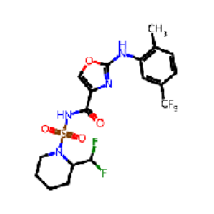 Cc1ccc(C(F)(F)F)cc1Nc1nc(C(=O)NS(=O)(=O)N2CCCCC2C(F)F)co1